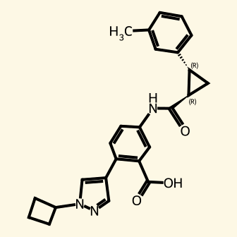 Cc1cccc([C@@H]2C[C@H]2C(=O)Nc2ccc(-c3cnn(C4CCC4)c3)c(C(=O)O)c2)c1